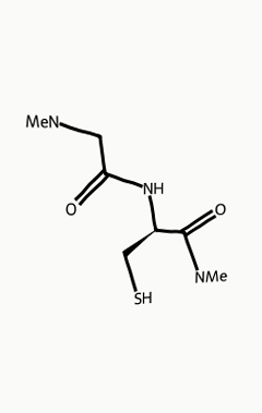 CNCC(=O)N[C@H](CS)C(=O)NC